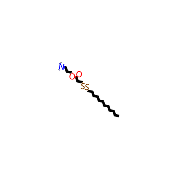 CCCCCCCCCCCCSSCCC(=O)OCCCN(C)C